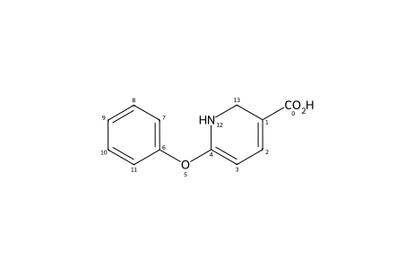 O=C(O)C1=CC=C(Oc2ccccc2)NC1